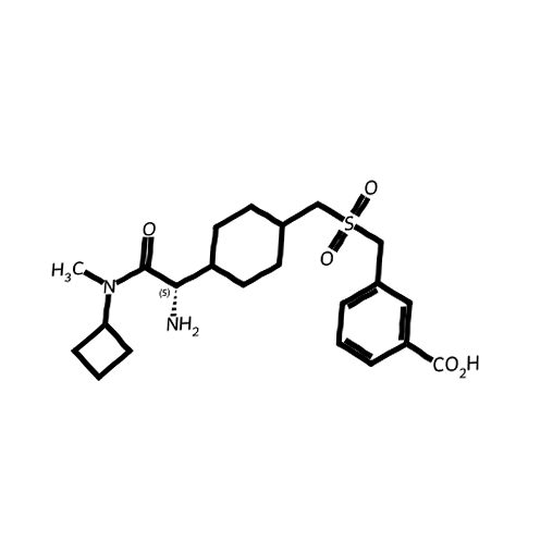 CN(C(=O)[C@@H](N)C1CCC(CS(=O)(=O)Cc2cccc(C(=O)O)c2)CC1)C1CCC1